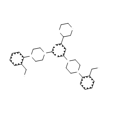 NCc1ccccc1N1CCN(c2cc(C3CNCCO3)nc(N3CCN(c4ccccc4CN)CC3)n2)CC1